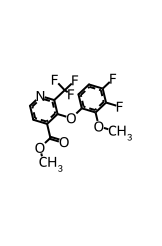 COC(=O)c1ccnc(C(F)(F)F)c1Oc1ccc(F)c(F)c1OC